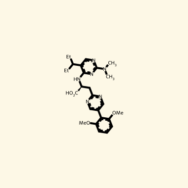 CCC(CC)c1cnc(N(C)C)nc1N[C@@H](Cc1ncc(-c2c(OC)cccc2OC)cn1)C(=O)O